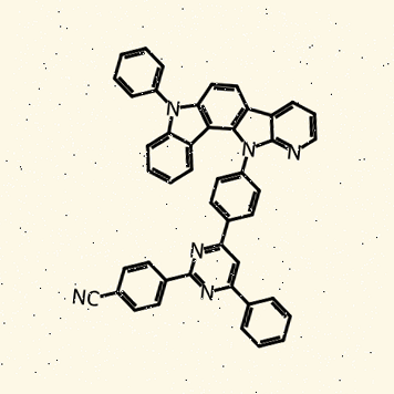 N#Cc1ccc(-c2nc(-c3ccccc3)cc(-c3ccc(-n4c5ncccc5c5ccc6c(c7ccccc7n6-c6ccccc6)c54)cc3)n2)cc1